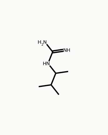 CC(C)C(C)NC(=N)N